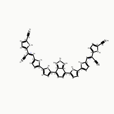 N#C/C(=C\c1ccc(-c2ccc(-c3ccc(-c4ccc(-c5ccc(/C=C(\C#N)c6ccc(C#N)s6)s5)s4)c4nsnc34)s2)s1)c1ccc(C#N)s1